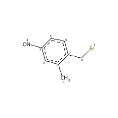 Cc1cc(N=O)ccc1CBr